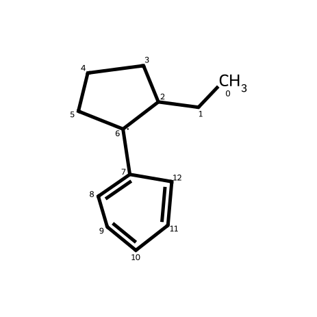 CCC1CCC[C]1c1ccccc1